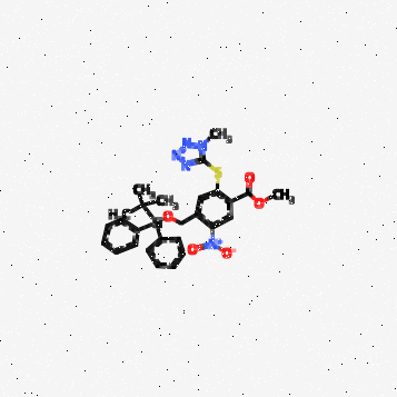 COC(=O)c1cc([N+](=O)[O-])c(CO[Si](c2ccccc2)(c2ccccc2)C(C)(C)C)cc1Sc1nnnn1C